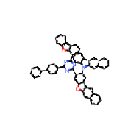 c1ccc(-c2ccc(-c3nc(-c4cc5oc6cc7ccccc7cc6c5cc4-n4c5ccccc5c5cc6ccccc6cc54)nc(-c4cccc5c4oc4ccccc45)n3)cc2)cc1